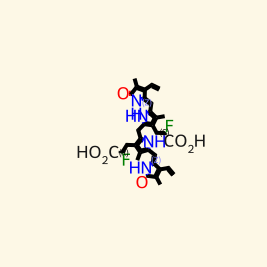 C=CC1=C(C)C(=O)N/C1=C\c1[nH]c(Cc2[nH]c(/C=C3\NC(=O)C(C)=C3C=C)c(C)c2C[C@H](F)C(=O)O)c(C[C@@H](F)C(=O)O)c1C